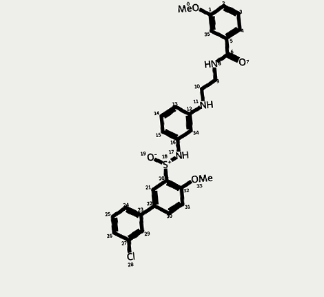 COc1cccc(C(=O)NCCNc2cccc(N[S+]([O-])c3cc(-c4cccc(Cl)c4)ccc3OC)c2)c1